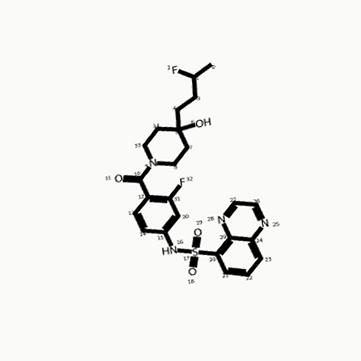 CC(F)CCC1(O)CCN(C(=O)c2ccc(NS(=O)(=O)c3cccc4nccnc34)cc2F)CC1